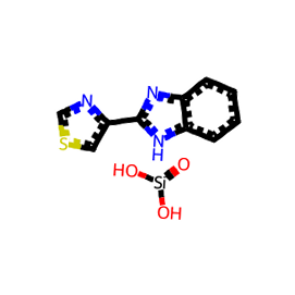 O=[Si](O)O.c1ccc2[nH]c(-c3cscn3)nc2c1